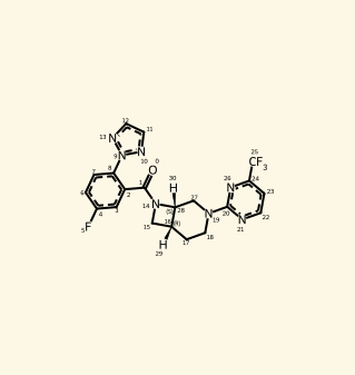 O=C(c1cc(F)ccc1-n1nccn1)N1C[C@H]2CCN(c3nccc(C(F)(F)F)n3)C[C@H]21